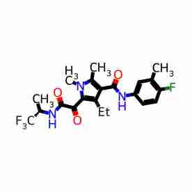 CCc1c(C(=O)Nc2ccc(F)c(C)c2)c(C)n(C)c1C(=O)C(=O)N[C@H](C)C(F)(F)F